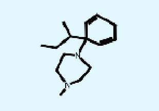 CCC(C)C1(N2CCN(C)CC2)C=C[CH]C=C1